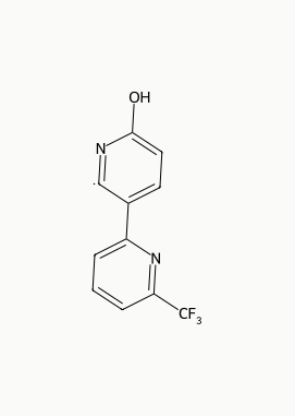 Oc1ccc(-c2cccc(C(F)(F)F)n2)[c]n1